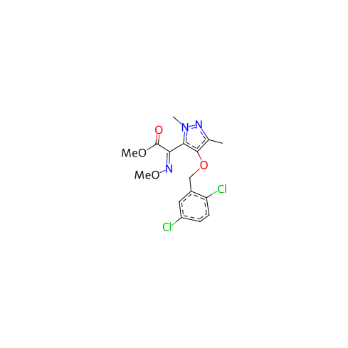 CON=C(C(=O)OC)c1c(OCc2cc(Cl)ccc2Cl)c(C)nn1C